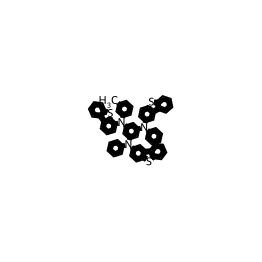 Cc1cccc(N(c2cc(N(c3ccccc3)c3ccc4sc5ccccc5c4c3)cc(N(c3ccccc3)c3ccc4sc5ccccc5c4c3)c2)c2cccc3c2sc2ccccc23)c1